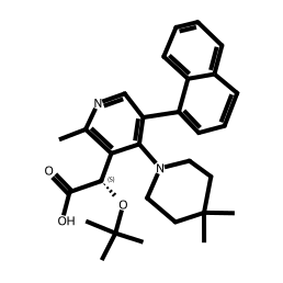 Cc1ncc(-c2cccc3ccccc23)c(N2CCC(C)(C)CC2)c1[C@H](OC(C)(C)C)C(=O)O